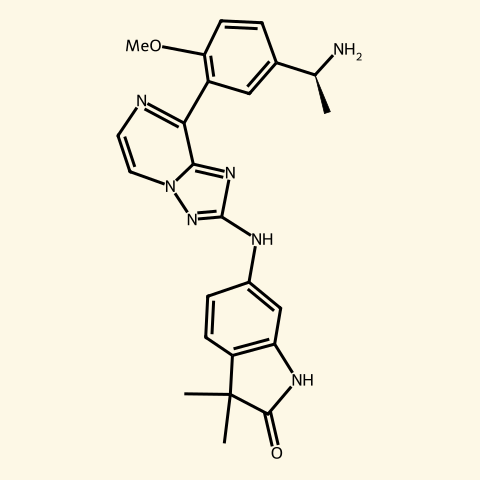 COc1ccc([C@H](C)N)cc1-c1nccn2nc(Nc3ccc4c(c3)NC(=O)C4(C)C)nc12